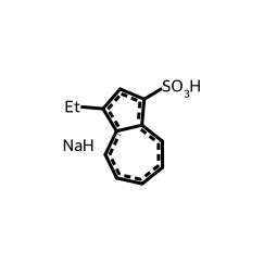 CCc1cc(S(=O)(=O)O)c2cccccc1-2.[NaH]